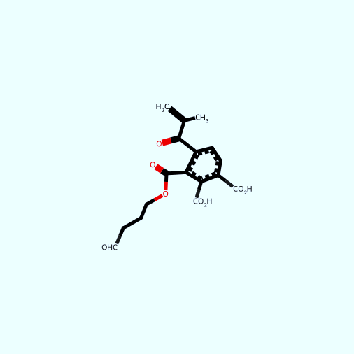 C=C(C)C(=O)c1ccc(C(=O)O)c(C(=O)O)c1C(=O)OCCCC=O